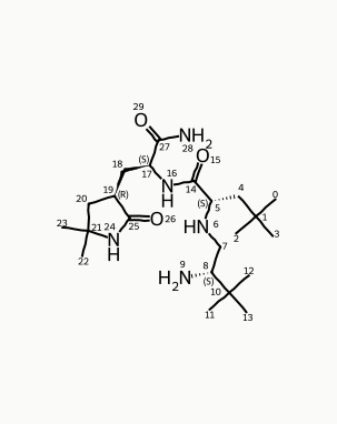 CC(C)(C)C[C@H](NC[C@@H](N)C(C)(C)C)C(=O)N[C@@H](C[C@@H]1CC(C)(C)NC1=O)C(N)=O